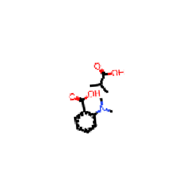 CC(C)C(=O)O.CN(C)c1ccccc1C(=O)O